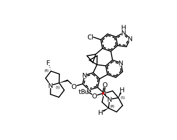 CC(C)(C)OC(=O)N1[C@@H]2CC[C@H]1CN(c1nc(OC[C@@]34CCCN3C[C@H](F)C4)nc3c1-c1ccnc(-c4c(C5CC5)c(Cl)cc5[nH]ncc45)c1C31CC1)C2